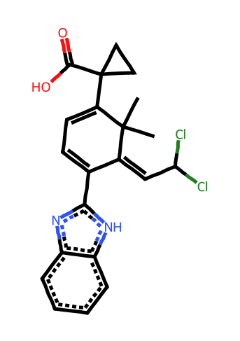 CC1(C)C(=CC(Cl)Cl)C(c2nc3ccccc3[nH]2)=CC=C1C1(C(=O)O)CC1